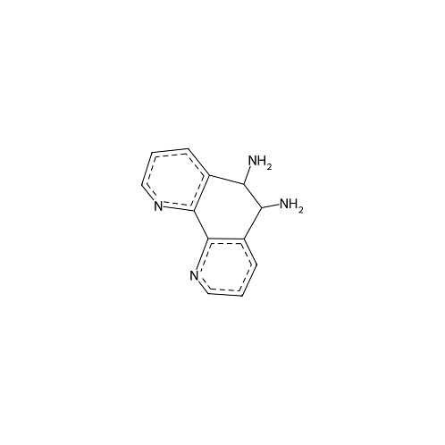 NC1c2cccnc2-c2ncccc2C1N